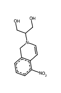 O=[N+]([O-])c1cccc2c1C=CN(C(CO)CO)C2